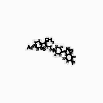 CC(=O)N1CCc2c(sc(CCN3CCC(c4noc5cc(F)ccc45)CC3)c2C)C1